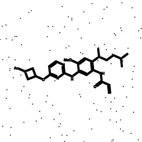 C=CC(=O)Nc1cc(Nc2nccc(OC3CN(C(C)=O)C3)n2)c(OC)cc1N(C)CCN(C)C